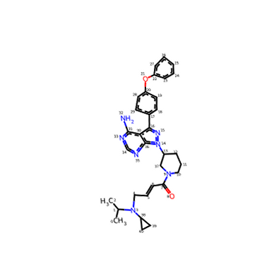 CC(C)N(CC=CC(=O)N1CCCC(n2nc(-c3ccc(Oc4ccccc4)cc3)c3c(N)ncnc32)C1)C1CC1